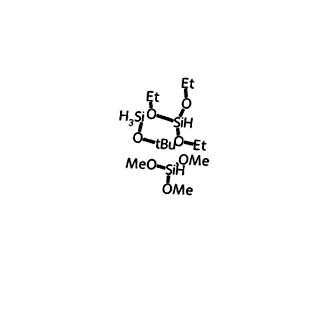 CC(C)(C)O[SiH3].CCO[SiH](OCC)OCC.CO[SiH](OC)OC